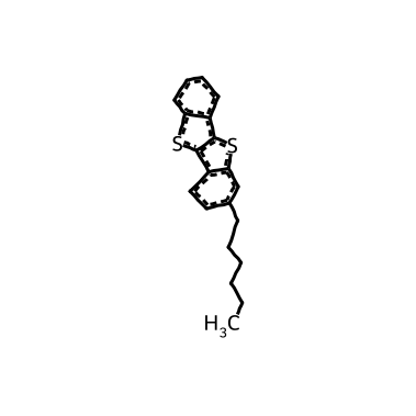 CCCCCCc1ccc2c(c1)sc1c3ccccc3sc21